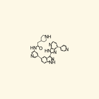 O=C(CC1CCNCC1)Nc1cncc(-c2ccc3[nH]nc(-c4nc5c(-c6ccncc6)ccnc5[nH]4)c3c2)c1